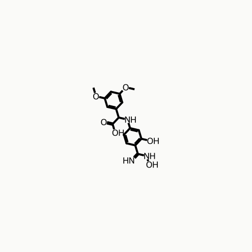 COc1cc(OC)cc(C(Nc2ccc(C(=N)NO)c(O)c2)C(=O)O)c1